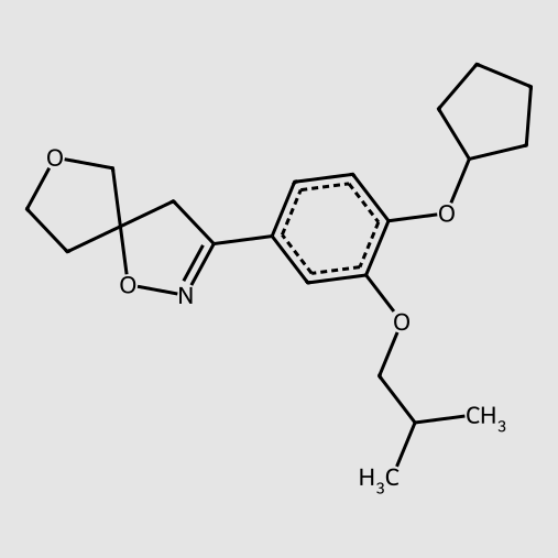 CC(C)COc1cc(C2=NOC3(CCOC3)C2)ccc1OC1CCCC1